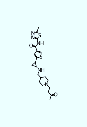 CC(=O)CCN1CCC(CN[C@@H]2C[C@H]2c2cc(C(=O)Nc3nnc(C)s3)cs2)CC1